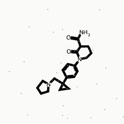 NC(=O)C1CCCN(c2ccc(C3(CN4CCCC4)CC3)cc2)C1=O